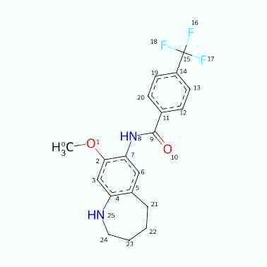 COc1cc2c(cc1NC(=O)c1ccc(C(F)(F)F)cc1)CCCCN2